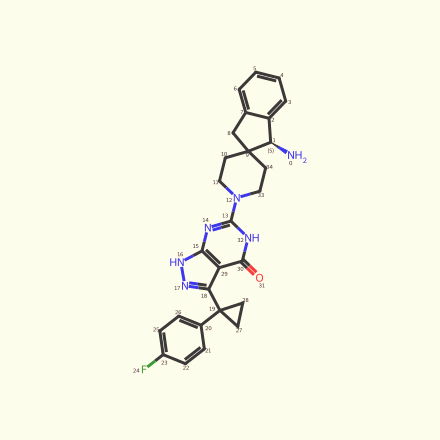 N[C@@H]1c2ccccc2CC12CCN(c1nc3[nH]nc(C4(c5ccc(F)cc5)CC4)c3c(=O)[nH]1)CC2